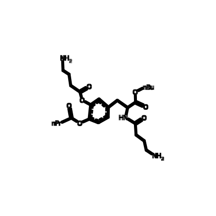 CCCCOC(=O)C(Cc1ccc(OC(=O)CCC)c(OC(=O)CCCN)c1)NC(=O)CCCN